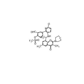 Cc1cc(C(C)Nc2ccc(Cl)nc2-c2ccc(OS(=O)(=O)C(F)(F)F)c(C=O)c2)c2oc(N3CCCCC3)c(C)c(=O)c2c1